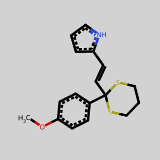 COc1ccc(C2(C=Cc3ccc[nH]3)SCCCS2)cc1